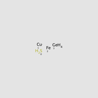 S.[Cu].[Fe].[GeH4]